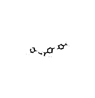 CCCC(CCC)c1ccc(OCc2ccc(-c3csc(COc4cncc(C(=O)[O-])c4)n3)cc2)cc1.[Na+]